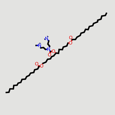 CCCCCCCCCCCCCCCCC(=O)OCCCCCCC(CCCCCCOC(=O)CCCCCCCCCCCCCCCC)OC(=O)N(CCCN(C)C)CCCN(C)C